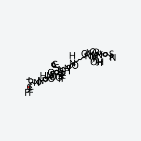 Cc1ncsc1-c1ccc([C@H](C)NC(=O)[C@@H]2C[C@@H](O)CN2C(=O)C(NC(=O)CCCCCCC(=O)NC2CCN(CCC(CSc3ccccc3)Nc3ccc(S(=O)(=O)NC(=O)c4ccc(N5CCN(CC6=C(C78CC(C(F)F)(C7)C8)CC(C)(C)CC6)CC5)cc4)cc3S(=O)(=O)C(F)(F)F)C2)C(C)(C)C)cc1